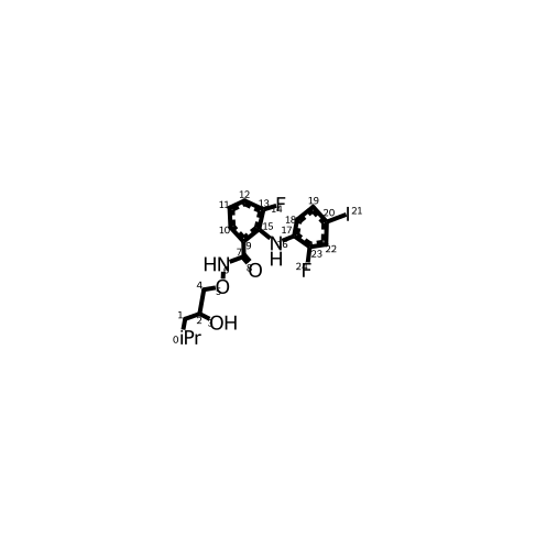 CC(C)CC(O)CONC(=O)c1cccc(F)c1Nc1ccc(I)cc1F